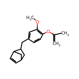 C=C(C)Oc1ccc(CC2CC3C=CC2C3)cc1OC